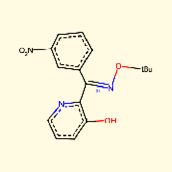 CC(C)(C)O/N=C(\c1cccc([N+](=O)[O-])c1)c1ncccc1O